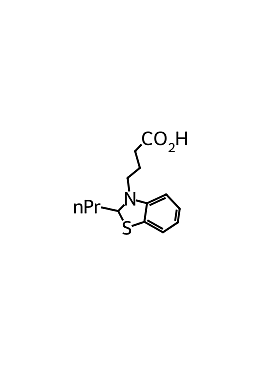 [CH2]CCC1Sc2ccccc2N1CCCC(=O)O